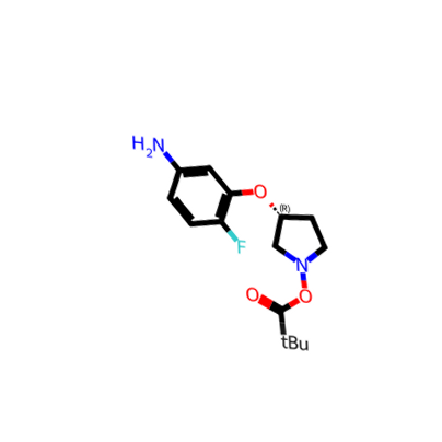 CC(C)(C)C(=O)ON1CC[C@@H](Oc2cc(N)ccc2F)C1